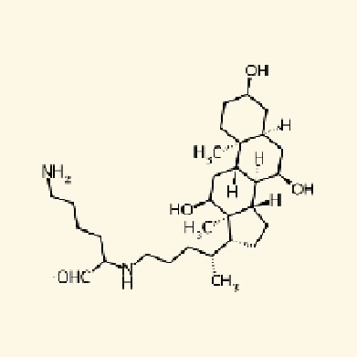 C[C@H](CCCNC([C]=O)CCCCN)[C@H]1CC[C@H]2[C@@H]3[C@H](O)C[C@@H]4C[C@H](O)CC[C@]4(C)[C@H]3C[C@H](O)[C@]12C